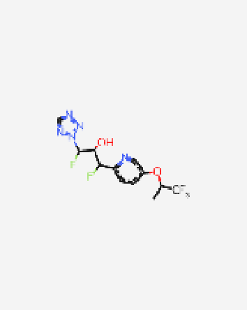 CC(Oc1ccc(C(F)C(O)C(F)n2ncnn2)nc1)C(F)(F)F